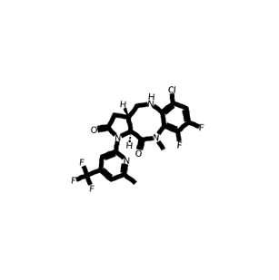 Cc1cc(C(F)(F)F)cc(N2C(=O)C[C@@H]3CNc4c(Cl)cc(F)c(F)c4N(C)C(=O)[C@H]32)n1